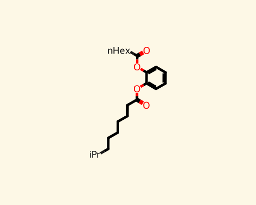 CCCCCCC(=O)Oc1ccccc1OC(=O)CCCCCCC(C)C